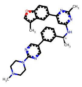 Cc1nc(N[C@@H](C)c2cccc(-c3cnc(N4CCN(C)CC4)nc3)c2)cc(-c2ccc3occ(C)c3c2)n1